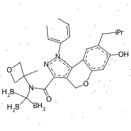 BC(B)(B)N(C(=O)c1nn(C(/C=C\C)=C/C)c2c1COc1cc(O)c(CC(C)C)cc1-2)C1(C)COC1